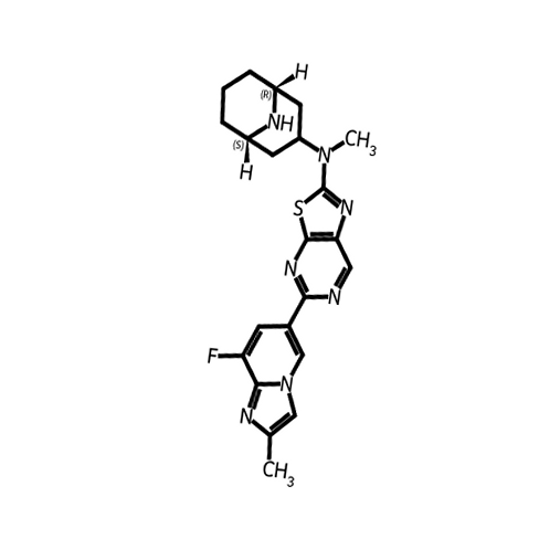 Cc1cn2cc(-c3ncc4nc(N(C)C5C[C@H]6CCC[C@@H](C5)N6)sc4n3)cc(F)c2n1